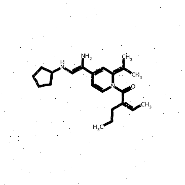 C/C=C(/CCC)C(=O)N1C=CC(/C(N)=C/NC2CCCC2)=CC1=C(C)C